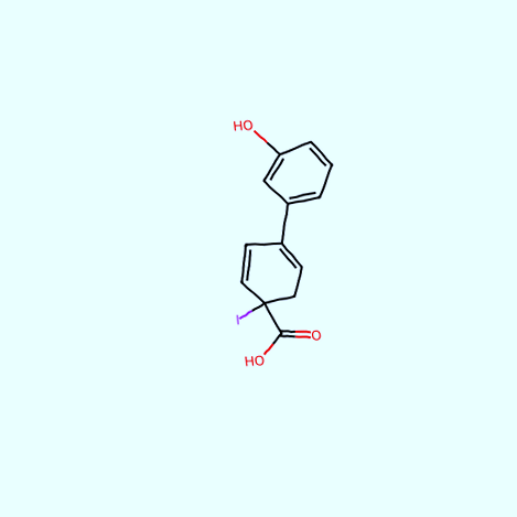 O=C(O)C1(I)C=CC(c2cccc(O)c2)=CC1